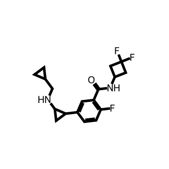 O=C(NC1CC(F)(F)C1)c1cc(C2CC2NCC2CC2)ccc1F